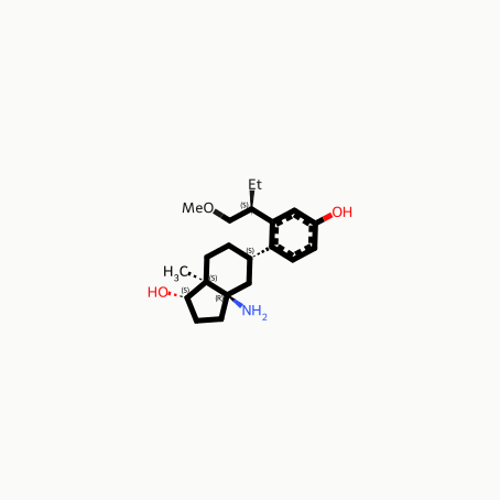 CC[C@H](COC)c1cc(O)ccc1[C@H]1CC[C@]2(C)[C@@H](O)CC[C@@]2(N)C1